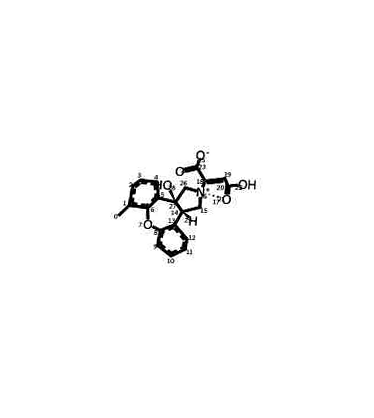 Cc1cccc2c1Oc1ccccc1[C@H]1C[N@+](C)(/C(=C\C(=O)O)C(=O)[O-])C[C@@]21O